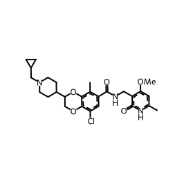 COc1cc(C)[nH]c(=O)c1CNC(=O)c1cc(Cl)c2c(c1C)OC(C1CCN(CC3CC3)CC1)CO2